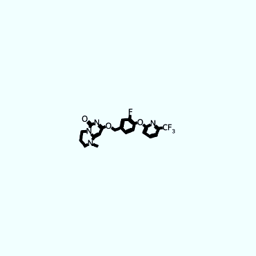 CN1CCCn2c1cc(OCc1ccc(Oc3cccc(C(F)(F)F)n3)c(F)c1)nc2=O